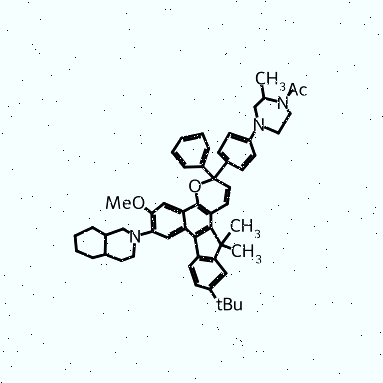 COc1cc2c3c(c4c(c2cc1N1CCC2CCCCC2C1)-c1ccc(C(C)(C)C)cc1C4(C)C)C=CC(c1ccccc1)(c1ccc(N2CCN(C(C)=O)C(C)C2)cc1)O3